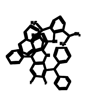 CC(C)c1cccc(C(C)C)c1NC1c2cccc3cccc(c23)C1Nc1c(C(c2ccccc2)c2ccccc2)cc(F)c(F)c1C(c1ccccc1)c1ccccc1